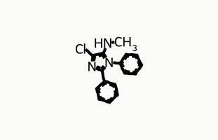 CNc1c(Cl)nc(-c2ccccc2)n1-c1ccccc1